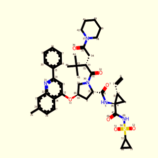 C=C[C@@H]1C[C@]1(NC(=O)[C@@H]1C[C@@H](Oc2cc(-c3ccccc3)nc3cc(C)ccc23)CN1C(=O)[C@@H](CC(=O)N1CCCCC1)C(C)(C)C)C(=O)NS(=O)(=O)C1CC1